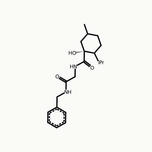 CC1CCC(C(C)C)[C@@](O)(C(=O)NCC(=O)NCc2ccccc2)C1